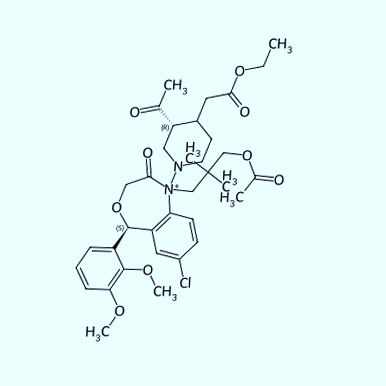 CCOC(=O)CC1CCN([N+]2(CC(C)(C)COC(C)=O)C(=O)CO[C@H](c3cccc(OC)c3OC)c3cc(Cl)ccc32)C[C@@H]1C(C)=O